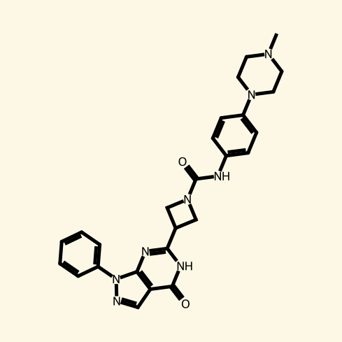 CN1CCN(c2ccc(NC(=O)N3CC(c4nc5c(cnn5-c5ccccc5)c(=O)[nH]4)C3)cc2)CC1